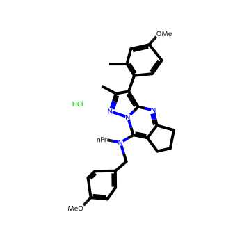 CCCN(Cc1ccc(OC)cc1)c1c2c(nc3c(-c4ccc(OC)cc4C)c(C)nn13)CCC2.Cl